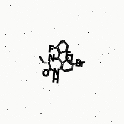 CC[C@@H]1N=C(c2c(F)cccc2F)c2c(ccc(Br)c2Cl)NC1=O